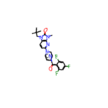 Cn1c(=O)n(CC(C)(C)C)c2ccc(N3CC4CCC3CN4C(=O)c3c(F)cc(F)cc3F)nc21